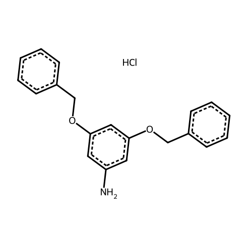 Cl.Nc1cc(OCc2ccccc2)cc(OCc2ccccc2)c1